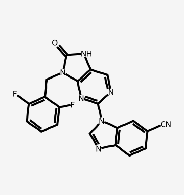 N#Cc1ccc2ncn(-c3ncc4[nH]c(=O)n(Cc5c(F)cccc5F)c4n3)c2c1